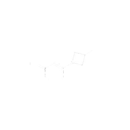 C=C(S)/C=C(\C)N1CC(C)C1